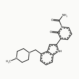 CN1CCN(Cc2cccc3[nH]c(-c4c[c]cn(C(N)=O)c4=O)cc23)CC1